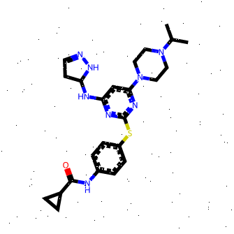 CC(C)N1CCN(c2cc(NC3CC=NN3)nc(Sc3ccc(NC(=O)C4CC4)cc3)n2)CC1